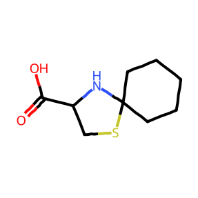 O=C(O)C1CSC2(CCCCC2)N1